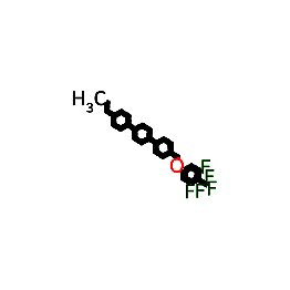 CCCC1CCC(C2CCC(C3CCC(COc4cc(F)c(C(F)(F)F)c(F)c4)CC3)CC2)CC1